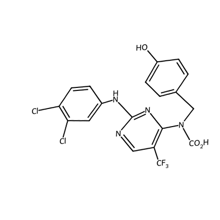 O=C(O)N(Cc1ccc(O)cc1)c1nc(Nc2ccc(Cl)c(Cl)c2)ncc1C(F)(F)F